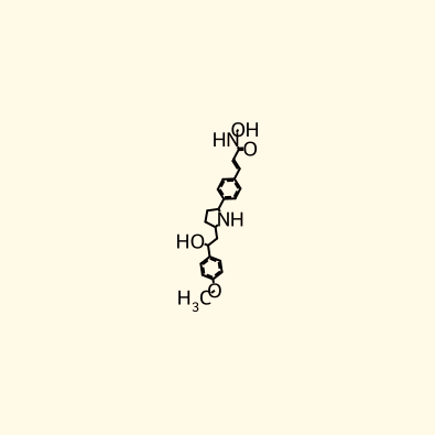 COc1ccc(C(O)CC2CCC(c3ccc(/C=C/C(=O)NO)cc3)N2)cc1